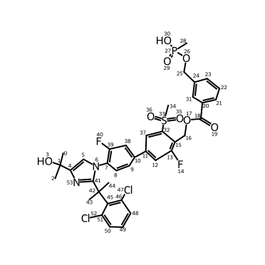 CC(C)(O)c1cn(-c2ccc(-c3cc(F)c(COC(=O)c4cccc(COP(C)(=O)O)c4)c(S(C)(=O)=O)c3)cc2F)c(C(C)(C)c2c(Cl)cccc2Cl)n1